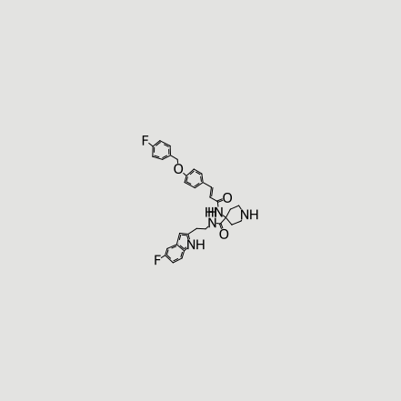 O=C(C=Cc1ccc(OCc2ccc(F)cc2)cc1)NC1(C(=O)NCCc2cc3cc(F)ccc3[nH]2)CCNCC1